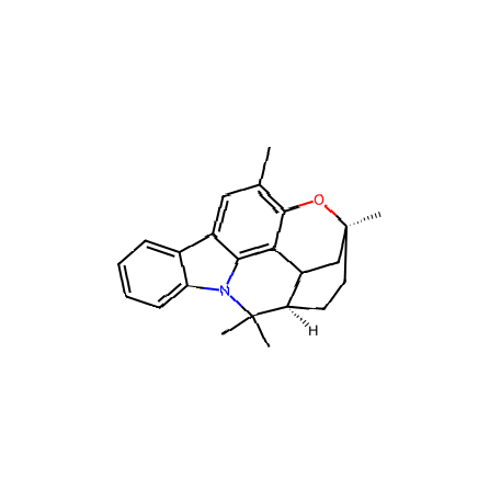 Cc1cc2c3ccccc3n3c2c2c1O[C@@]1(C)CC[C@H](C2C1)C3(C)C